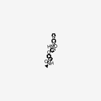 O=C(Nc1cc(Oc2ccc3c(ccn3C(=O)NC3CC3)c2)ccn1)N1CCC(N2CCCC2)CC1